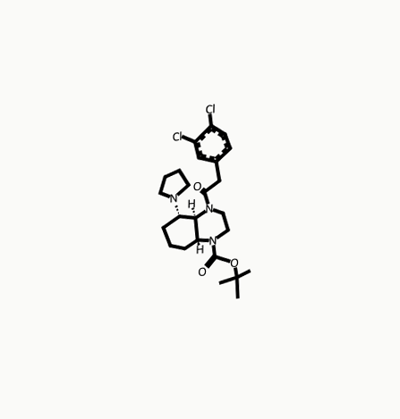 CC(C)(C)OC(=O)N1CCN(C(=O)Cc2ccc(Cl)c(Cl)c2)[C@@H]2[C@@H](N3CCCC3)CCC[C@@H]21